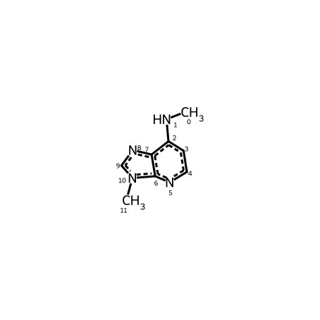 CNc1ccnc2c1ncn2C